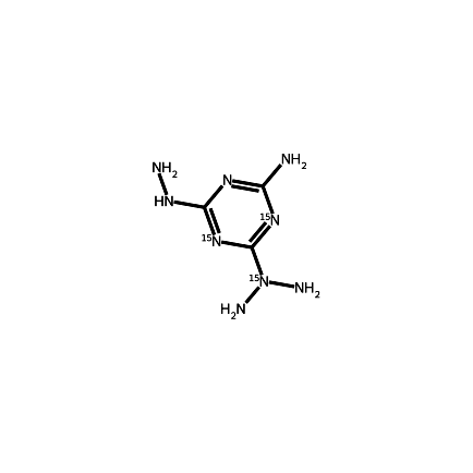 NNc1nc(N)[15n]c([15N](N)N)[15n]1